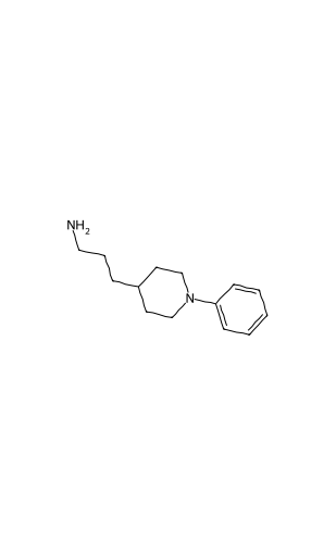 NCCCC1CCN(c2ccccc2)CC1